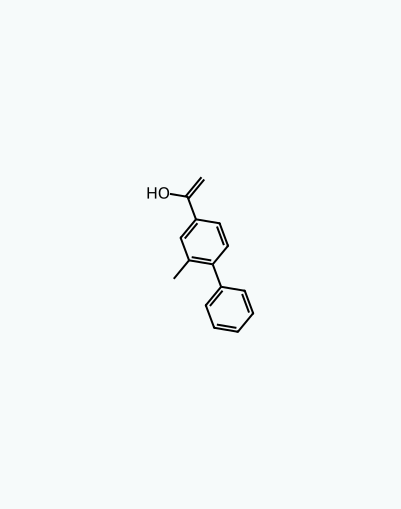 C=C(O)c1ccc(-c2ccccc2)c(C)c1